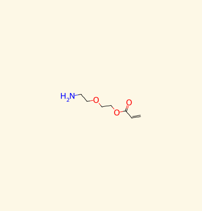 C=CC(=O)OCCOCCN